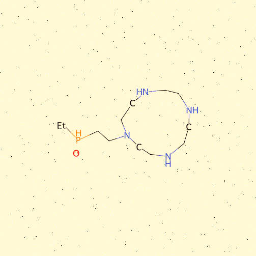 CC[PH](=O)CCN1CCNCCNCCNCC1